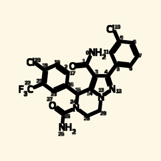 NC(=O)c1c(-c2cccc(Cl)c2)nn2c1C(c1ccc(Cl)c(C(F)(F)F)c1)N(C(N)=O)CC2